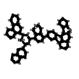 c1ccc2cc(C3=NC(c4ccc(-c5ccc6c(c5)-c5cccc7cc8oc9ccccc9c8c-6c57)c5ccccc45)=NC(c4cc5ccccc5c5ccccc45)N3)ccc2c1